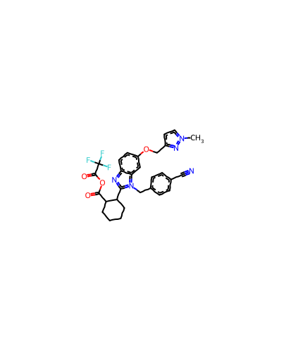 Cn1ccc(COc2ccc3nc(C4CCCCC4C(=O)OC(=O)C(F)(F)F)n(Cc4ccc(C#N)cc4)c3c2)n1